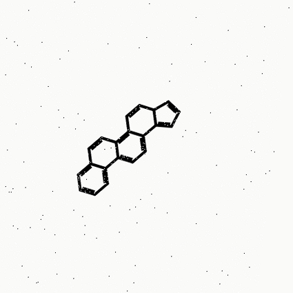 C1=CC2C=Cc3c(ccc4c3ccc3ccccc34)C2=C1